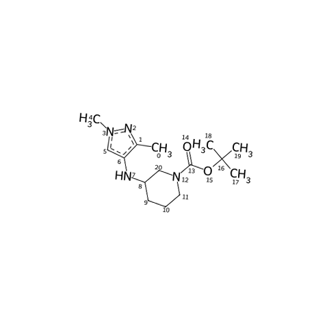 Cc1nn(C)cc1NC1CCCN(C(=O)OC(C)(C)C)C1